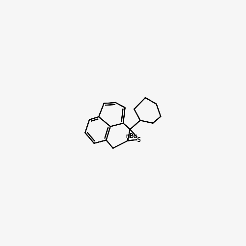 CCCCC12Cc3cccc4cccc(c34)C1(C1CCCCC1)S2